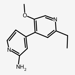 CCc1cc(-c2ccnc(N)c2)c(OC)cn1